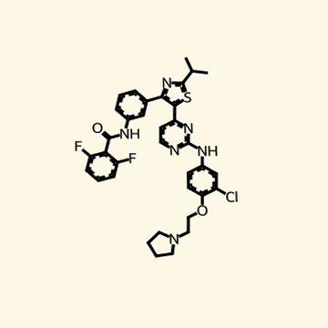 CC(C)c1nc(-c2cccc(NC(=O)c3c(F)cccc3F)c2)c(-c2ccnc(Nc3ccc(OCCN4CCCC4)c(Cl)c3)n2)s1